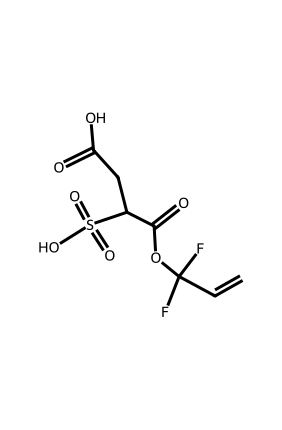 C=CC(F)(F)OC(=O)C(CC(=O)O)S(=O)(=O)O